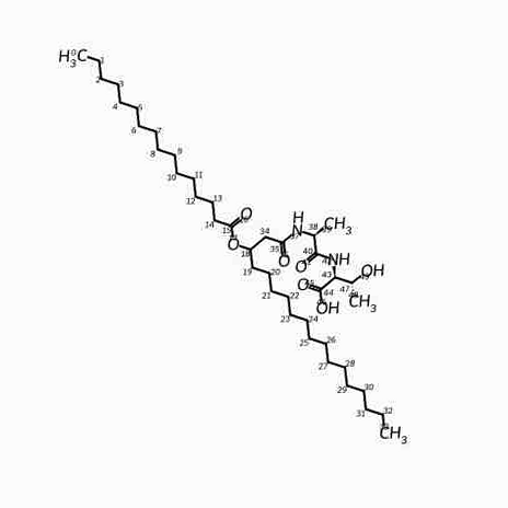 CCCCCCCCCCCCCCCC(=O)OC(CCCCCCCCCCCCCCC)CC(=O)N[C@@H](C)C(=O)N[C@H](C(=O)O)[C@@H](C)O